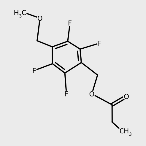 CCC(=O)OCc1c(F)c(F)c(COC)c(F)c1F